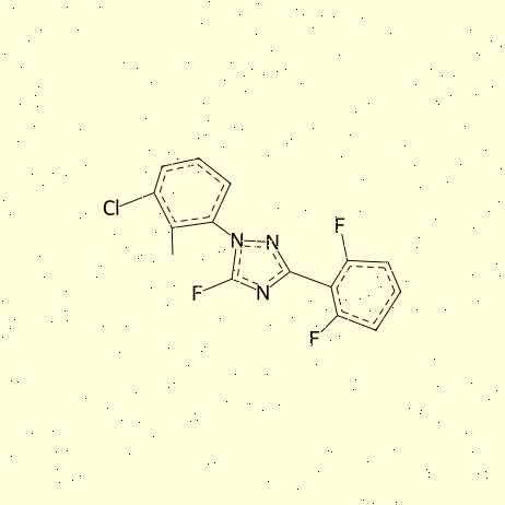 Cc1c(Cl)cccc1-n1nc(-c2c(F)cccc2F)nc1F